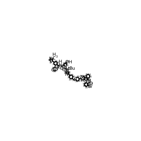 Cc1ncsc1-c1ccc([C@H](CN2CCOCC2)NC(=O)[C@@H]2C[C@@H](O)CN2C(=O)[C@@H](n2cc(C3CCC(CN4CCC(c5ncc6c(n5)-n5c(nc(=O)c7c(Br)cccc75)C65CCCCC5)CC4)CC3)nn2)C(C)(C)C)cc1